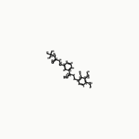 COc1ccc(CC[C@@H](O)c2cccc(OCC(=O)OC(C)(C)C)c2)c(F)c1OC